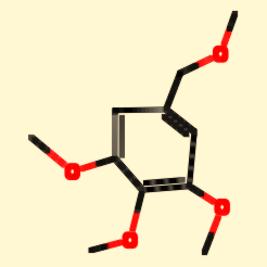 COCc1cc(OC)c(OC)c(OC)c1